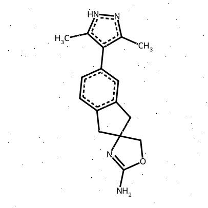 Cc1n[nH]c(C)c1-c1ccc2c(c1)CC1(COC(N)=N1)C2